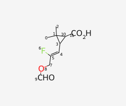 CC1(C)C(C=C(F)COC=O)C1C(=O)O